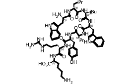 CC[C@H](C)[C@H](NC(=O)[C@H](CC(C)C)NC(=O)[C@@H](N)Cc1c[nH]c2ccccc12)C(=O)N[C@@H](Cc1c[nH]c2ccccc12)C(=O)N[C@H](C(=O)N[C@@H](Cc1ccc(O)cc1)C(=O)N[C@@H](CCCNC(=N)N)C(=O)N[C@@H](CCCCN)C(=O)O)C(C)C